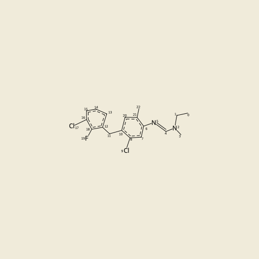 CCN(C)C=Nc1cc(Cl)c(Cc2cccc(Cl)c2F)cc1C